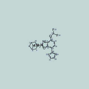 O=C(O)N1C2CC1CN(c1nc3c(OC(F)F)ccc(-c4nccs4)c3o1)C2